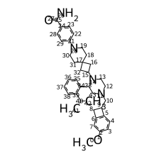 COc1ccc2c(c1)CC2CN1CCN(C2CC3(CCN(c4ccc(C(N)=O)cc4)CC3)C2)[C@H](c2ccccc2C(C)C)C1